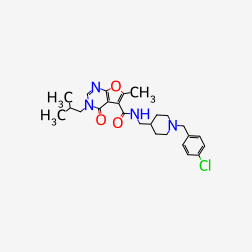 Cc1oc2ncn(CC(C)C)c(=O)c2c1C(=O)NCC1CCN(Cc2ccc(Cl)cc2)CC1